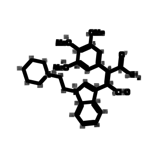 COc1cc(/C(C(N)=O)=C(/C=O)c2cn(CCN3CCCCC3)c3ccccc23)cc(OC)c1OC